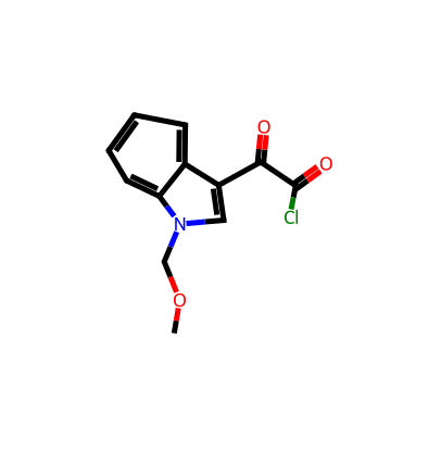 COCn1cc(C(=O)C(=O)Cl)c2ccccc21